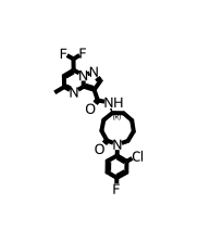 Cc1cc(C(F)F)n2ncc(C(=O)N[C@@H]3CCCCN(c4ccc(F)cc4Cl)C(=O)CC3)c2n1